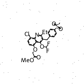 CCc1nc2c(Cl)ccc(OCC(=O)OC)c2c(OC(F)F)c1Cc1ccc(S(C)(=O)=O)cc1